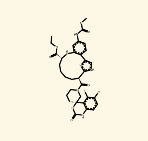 CCOC(=O)[C@H]1CCCC[C@H](C(=O)N2CCC[C@@]3(C2)OC(=O)Nc2ccc(Cl)c(F)c23)c2nc(c[nH]2)-c2ccc(NC(=O)OC)cc2N1